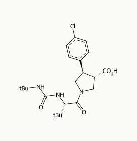 CC(C)(C)NC(=O)N[C@H](C(=O)N1C[C@@H](C(=O)O)[C@H](c2ccc(Cl)cc2)C1)C(C)(C)C